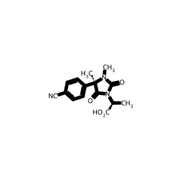 C[C@@H](C(=O)O)N1C(=O)N(C)[C@](C)(c2ccc(C#N)cc2)C1=O